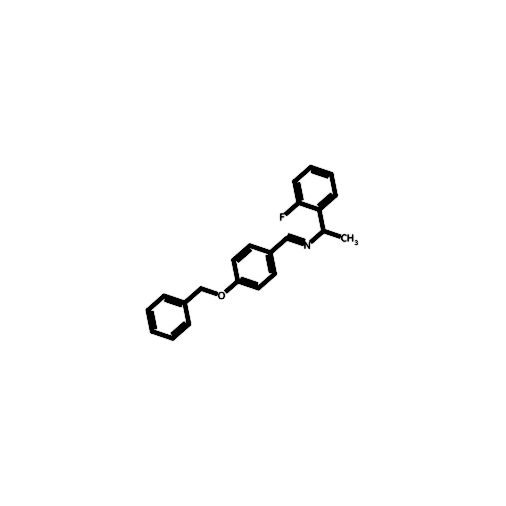 CC(N=Cc1ccc(OCc2ccccc2)cc1)c1ccccc1F